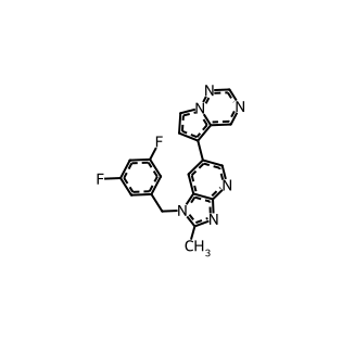 Cc1nc2ncc(-c3ccn4ncncc34)cc2n1Cc1cc(F)cc(F)c1